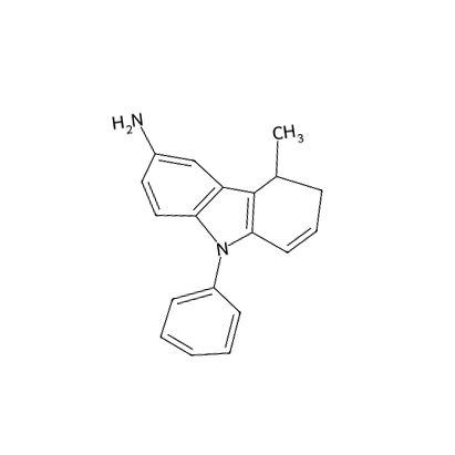 CC1CC=Cc2c1c1cc(N)ccc1n2-c1ccccc1